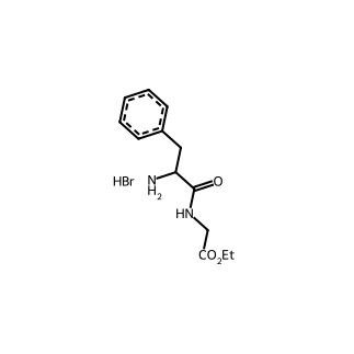 Br.CCOC(=O)CNC(=O)C(N)Cc1ccccc1